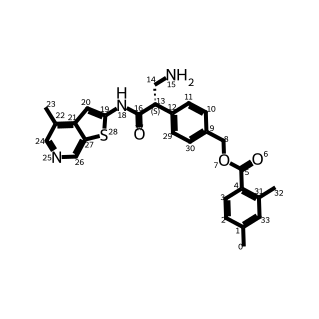 Cc1ccc(C(=O)OCc2ccc([C@@H](CN)C(=O)Nc3cc4c(C)cncc4s3)cc2)c(C)c1